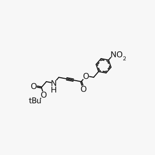 CC(C)(C)OC(=O)CNCC#CC(=O)OCc1ccc([N+](=O)[O-])cc1